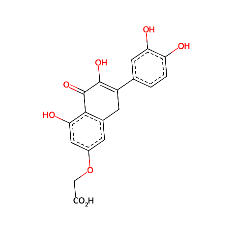 O=C(O)COc1cc(O)c2c(c1)CC(c1ccc(O)c(O)c1)=C(O)C2=O